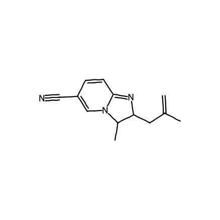 C=C(C)CC1N=C2C=CC(C#N)=CN2C1C